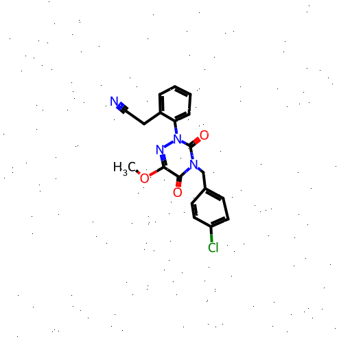 COc1nn(-c2ccccc2CC#N)c(=O)n(Cc2ccc(Cl)cc2)c1=O